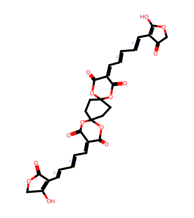 O=C1COC(O)=C1/C=C/C=C/C=C1C(=O)OC2(CCC3(CC2)OC(=O)C(=C/C=C/C=C/C2=C(O)COC2=O)C(=O)O3)OC1=O